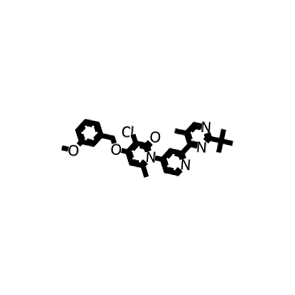 COc1cccc(COc2cc(C)n(-c3ccnc(-c4nc(C(C)(C)C)ncc4C)c3)c(=O)c2Cl)c1